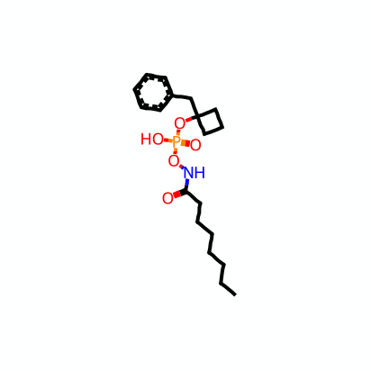 CCCCCCCC(=O)NOP(=O)(O)OC1(Cc2ccccc2)CCC1